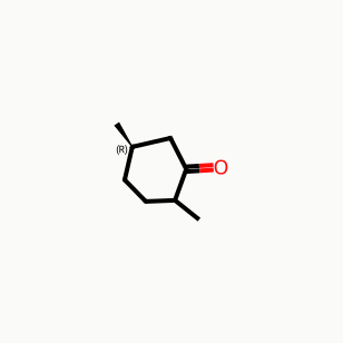 CC1CC[C@@H](C)CC1=O